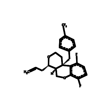 C=CC[C@@H]1OCC[C@@]2(Cc3ccc(C(F)(F)F)cc3)c3c(F)ccc(F)c3OC[C@@H]12